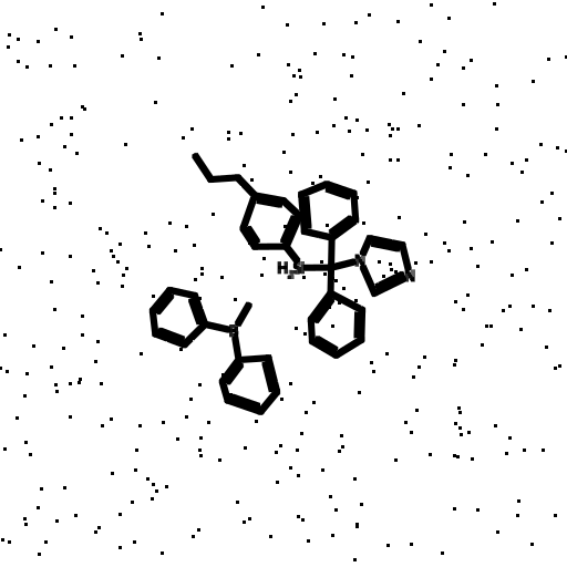 CB(c1ccccc1)c1ccccc1.CCCc1ccc([SiH2]C(c2ccccc2)(c2ccccc2)n2ccnc2)cc1